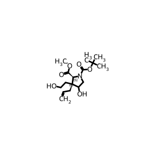 C=CC[C@]1(CCO)C(O)CN(C(=O)OC(C)(C)C)[C@@H]1C(=O)OC